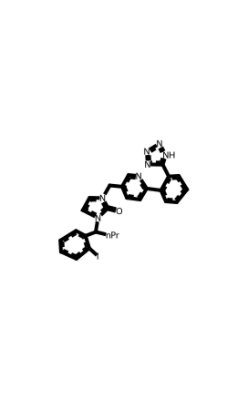 CCCC(c1ccccc1I)n1ccn(Cc2ccc(-c3ccccc3-c3nnn[nH]3)nc2)c1=O